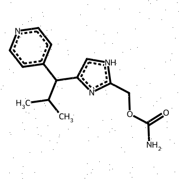 CC(C)C(c1ccncc1)c1c[nH]c(COC(N)=O)n1